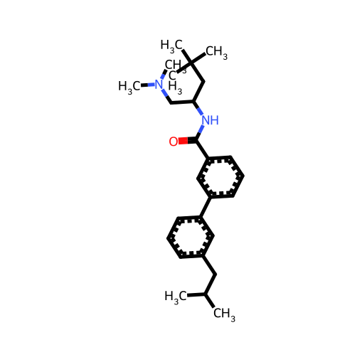 CC(C)Cc1cccc(-c2cccc(C(=O)NC(CN(C)C)CC(C)(C)C)c2)c1